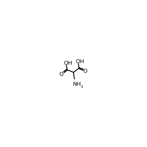 CC(C(=O)O)C(=O)O.N